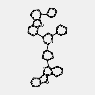 c1ccc(-c2cc(-c3cccc4c3oc3c(-c5ccccc5)cccc34)nc(-c3ccc(-c4nc5c6ccccc6oc5c5ccccc45)cc3)n2)cc1